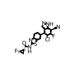 N#Cc1c(F)c(Cl)c(-c2ccc3nc(NC(=O)[C@@H]4C[C@@H]4F)sc3c2)c2cn[nH]c12